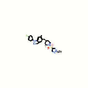 CCCn1cc(S(=O)(=O)N2CC[C@H](Cc3cc4cnn(-c5ccc(F)cc5)c4cc3C)C[C@H]2C)cn1